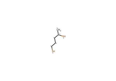 CB(S)CCCS